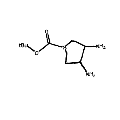 CC(C)(C)OC(=O)N1CC(N)C(N)C1